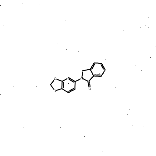 O=C1c2ccccc2CN1c1ccc2c(c1)OCO2